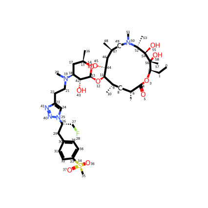 CC[C@H]1OC(=O)[C@H](C)C[C@H](C)[C@@H](O[C@@H]2O[C@H](C)C[C@H](N(C)CCc3cn([C@H](CF)Cc4ccc(S(C)(=O)=O)cc4)nn3)[C@H]2O)[C@H](O)C[C@@H](C)CN(C)[C@H](C)[C@@H](O)[C@]1(C)O